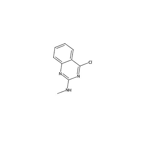 CNc1nc(Cl)c2ccccc2n1